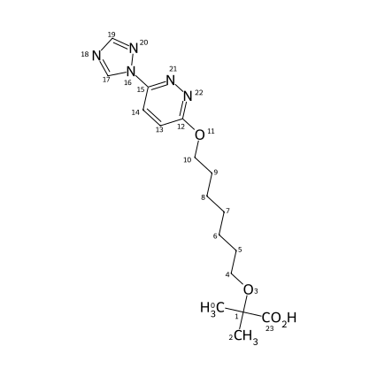 CC(C)(OCCCCCCCOc1ccc(-n2cncn2)nn1)C(=O)O